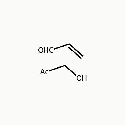 C=CC=O.CC(=O)CO